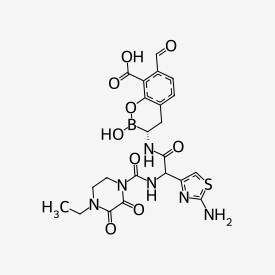 CCN1CCN(C(=O)NC(C(=O)N[C@H]2Cc3ccc(C=O)c(C(=O)O)c3OB2O)c2csc(N)n2)C(=O)C1=O